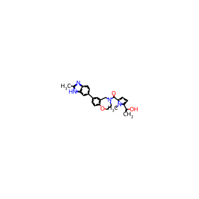 C=C(O)c1ccc(C(=O)N2CCOc3ccc(-c4ccc5nc(C)[nH]c5c4)cc3C2)n1C